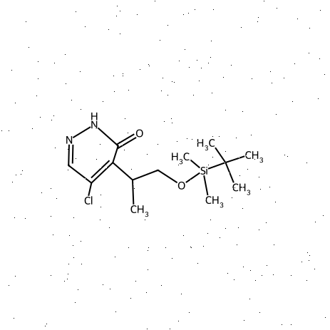 CC(CO[Si](C)(C)C(C)(C)C)c1c(Cl)cn[nH]c1=O